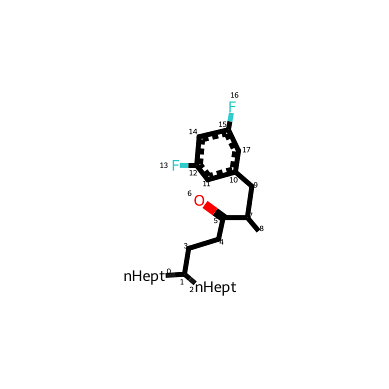 CCCCCCCC(CCCCCCC)CCC(=O)C(C)Cc1cc(F)cc(F)c1